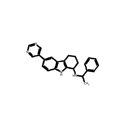 CC(NC1CCCc2c1[nH]c1ccc(-c3cncnc3)cc21)c1ccccc1